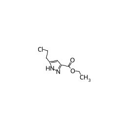 CCOC(=O)c1cc(CCCl)[nH]n1